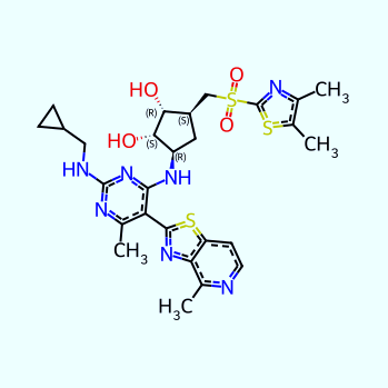 Cc1nc(S(=O)(=O)C[C@H]2C[C@@H](Nc3nc(NCC4CC4)nc(C)c3-c3nc4c(C)nccc4s3)[C@H](O)[C@@H]2O)sc1C